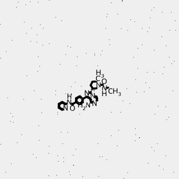 CCNC(=O)N1C[C@H](c2nc(-c3ccc(C(=O)Nc4ccccn4)cc3)c3c(N)nccn23)CCC1C